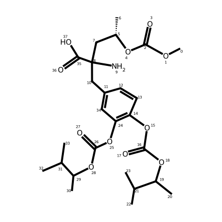 COC(=O)O[C@@H](C)CC(N)(Cc1ccc(OC(=O)OC(C)C(C)C)c(OC(=O)OC(C)C(C)C)c1)C(=O)O